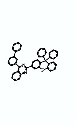 c1ccc(-c2cccc(-c3nc(-c4ccc5c(c4)Sc4ccccc4C5(c4ccccc4)c4ccccc4)nc4ccccc34)c2)cc1